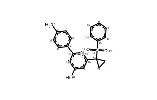 Nc1ccc(-c2nc(O)cc(C3(S(=O)(=O)c4ccccc4)CC3)n2)cc1